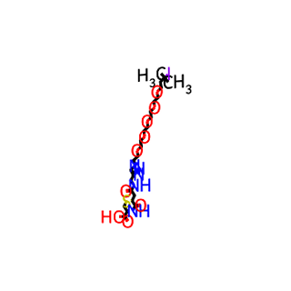 CC(C)(I)CCOCCOCCOCCOCCOCCn1cc(CNC(=O)CC2SCC(C(=O)O)NC2=O)nn1